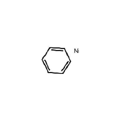 [Ni].c1ccccc1